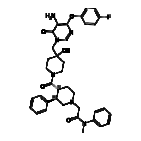 CN(C(=O)CN1CC[C@@H](C(=O)N2CCC(O)(Cn3cnc(Oc4ccc(F)cc4)c(N)c3=O)CC2)[C@H](c2ccccc2)C1)c1ccccc1